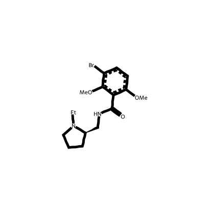 CCN1CCC[C@@H]1CNC(=O)c1c(OC)ccc(Br)c1OC